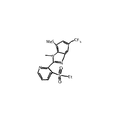 CCS(=O)(=O)c1cccnc1-c1nc2cc(C(F)(F)F)cc(SC)c2n1C